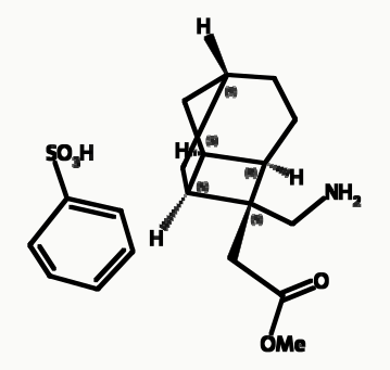 COC(=O)C[C@]1(CN)[C@@H]2CC[C@H]3C[C@@H]2[C@@H]1C3.O=S(=O)(O)c1ccccc1